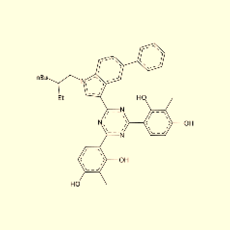 CCCCC(CC)Cn1cc(-c2nc(-c3ccc(O)c(C)c3O)nc(-c3ccc(O)c(C)c3O)n2)c2cc(-c3ccccc3)ccc21